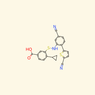 N#Cc1ccc(-c2ccc(C#N)s2)c(NSc2cc(C(=O)O)ccc2C2CC2)c1